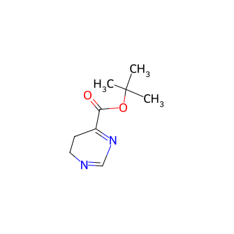 CC(C)(C)OC(=O)C1=NC=NCC1